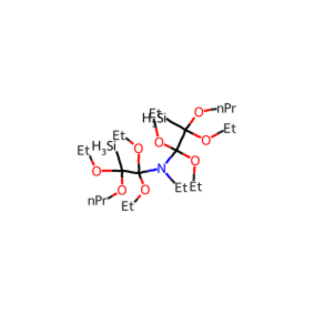 CCCOC([SiH3])(OCC)C(OCC)(OCC)N(CC)C(OCC)(OCC)C([SiH3])(OCC)OCCC